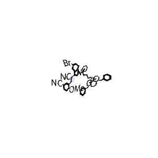 COc1ccc(C#N)cc1/C=C(\C#N)c1cn(C(=O)CCCCP(=O)(OCc2ccccc2)OCc2ccccc2)c2ccc(Br)cc12